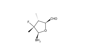 B[C@@H]1O[C@H](C=O)[C@@H](C)[C@@]1(C)F